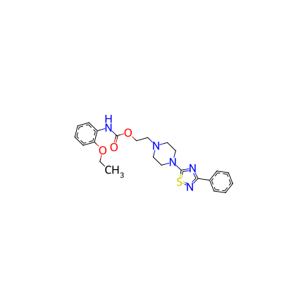 CCOc1ccccc1NC(=O)OCCN1CCN(c2nc(-c3ccccc3)ns2)CC1